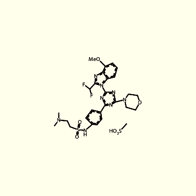 COc1cccc2c1nc(C(F)F)n2-c1nc(-c2ccc(NS(=O)(=O)CCN(C)C)cc2)nc(N2CCOCC2)n1.CS(=O)(=O)O